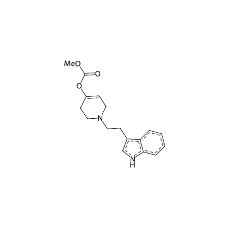 COC(=O)OC1=CCN(CCc2c[nH]c3ccccc23)CC1